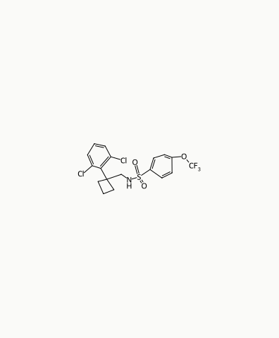 O=S(=O)(NCC1(c2c(Cl)cccc2Cl)CCC1)c1ccc(OC(F)(F)F)cc1